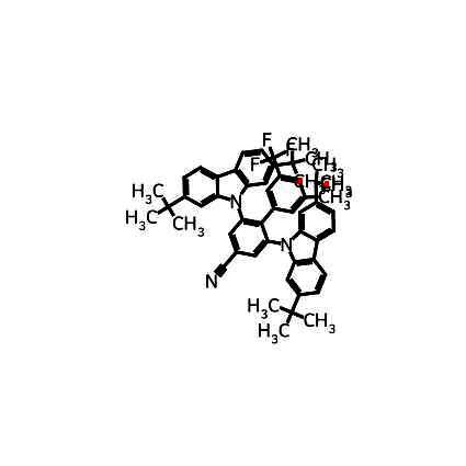 Cc1cc(-c2c(-n3c4cc(C(C)(C)C)ccc4c4ccc(C(C)(C)C)cc43)cc(C#N)cc2-n2c3cc(C(C)(C)C)ccc3c3ccc(C(C)(C)C)cc32)cc(C(F)(F)F)c1